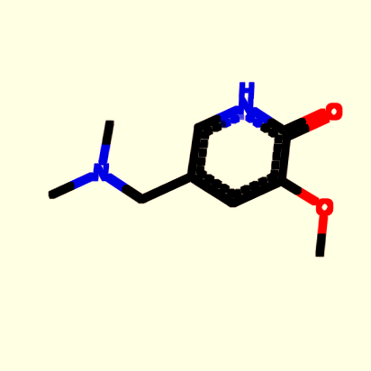 COc1cc(CN(C)C)c[nH]c1=O